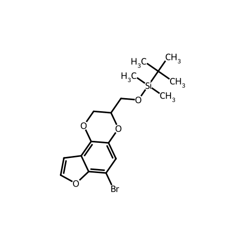 CC(C)(C)[Si](C)(C)OCC1COc2c(cc(Br)c3occc23)O1